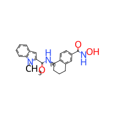 Cn1c(C(=O)N[C@@H]2CCCc3cc(C(=O)NO)ccc32)cc2ccccc21